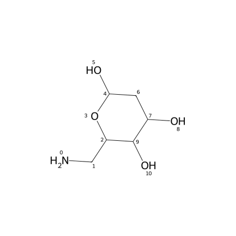 NCC1OC(O)CC(O)C1O